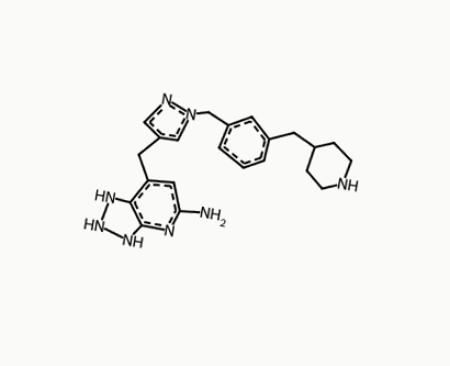 Nc1cc(Cc2cnn(Cc3cccc(CC4CCNCC4)c3)c2)c2c(n1)NNN2